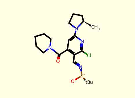 C[C@@H]1CCCN1c1cc(C(=O)N2CCCCC2)c(C=N[S+]([O-])C(C)(C)C)c(Cl)n1